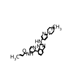 C/C=C/C(=O)Nc1ccnc(-c2cccc3cnc(Nc4ccc(N5CCN(C)CC5)nc4)nc23)c1